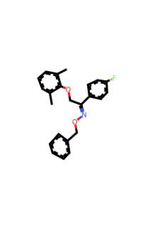 Cc1cccc(C)c1OC/C(=N\OCc1ccccc1)c1ccc(F)cc1